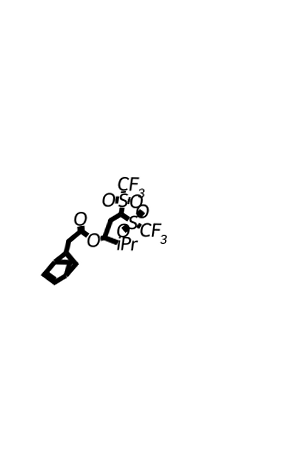 CC(C)C(CC(S(=O)(=O)C(F)(F)F)S(=O)(=O)C(F)(F)F)OC(=O)CC1CC2C=CC1C2